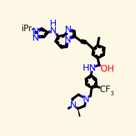 Cc1ccc(C(O)Nc2ccc(CN3CCN(C)[C@H](C)C3)c(C(F)(F)F)c2)cc1C#Cc1cnc2c(Nc3cnn(C(C)C)c3)cccn12